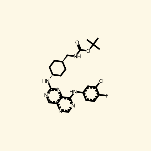 CC(C)(C)OC(=O)NC[C@H]1CC[C@H](Nc2ncc3ncnc(Nc4ccc(F)c(Cl)c4)c3n2)CC1